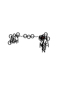 CC(C)(C)OC(=O)N1CCC(Nc2cccc(C(=O)N[C@H]3CCOc4ccc(OCCCCCCOCCOCCOCCCCCC(=O)Nc5cccc6c5CN(C5CCC(=O)NC5=O)C6=O)cc43)c2)(c2nnc(-c3ccncc3)[nH]2)CC1